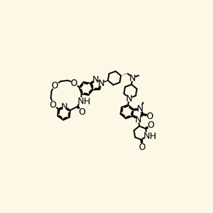 CN(C[C@H]1CC[C@H](n2cc3cc4c(cc3n2)OCCOCCOc2cccc(n2)C(=O)N4)CC1)C1CCN(c2cccc3c2n(C)c(=O)n3C2CCC(=O)NC2=O)CC1